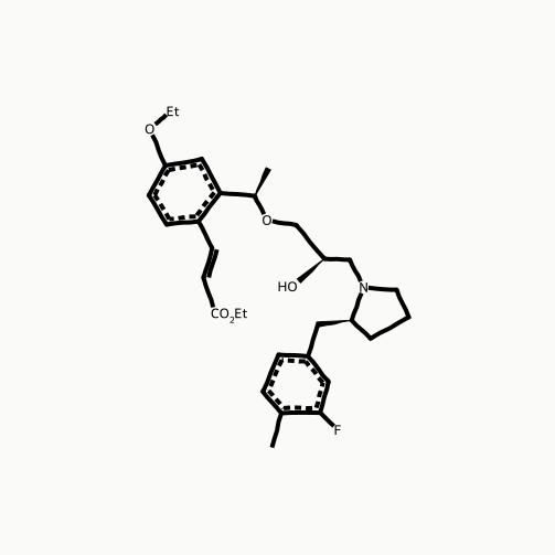 CCOC(=O)/C=C/c1ccc(OCC)cc1[C@@H](C)OC[C@H](O)CN1CCC[C@H]1Cc1ccc(C)c(F)c1